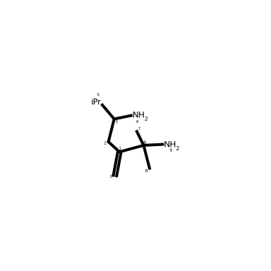 C=C(CC(N)C(C)C)C(C)(C)N